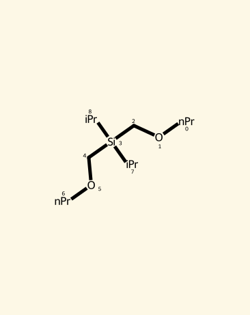 CCCOC[Si](COCCC)(C(C)C)C(C)C